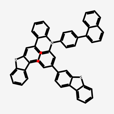 c1cc(-c2ccc3c(c2)sc2ccccc23)cc(N(c2ccc(-c3cccc4ccccc34)cc2)c2ccccc2-c2ccc3c(c2)sc2ccccc23)c1